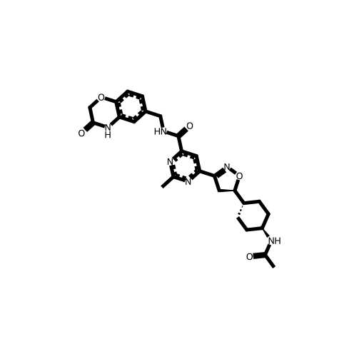 CC(=O)N[C@H]1CC[C@H]([C@H]2CC(c3cc(C(=O)NCc4ccc5c(c4)NC(=O)CO5)nc(C)n3)=NO2)CC1